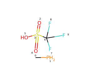 CP.O=S(=O)(O)C(F)(F)F